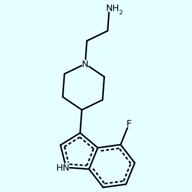 NCCN1CCC(c2c[nH]c3cccc(F)c23)CC1